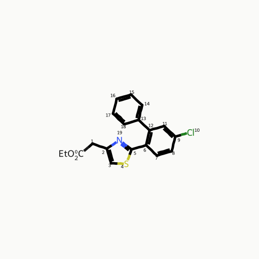 CCOC(=O)Cc1csc(-c2ccc(Cl)cc2-c2ccccc2)n1